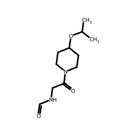 CC(C)OC1CCN(C(=O)CNC=O)CC1